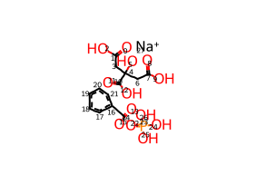 O=C(O)CC(O)(CC(=O)O)C(=O)O.O=C([O-])c1ccccc1.O=P(O)(O)O.[Na+]